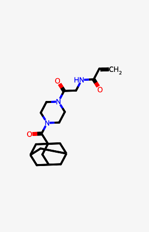 C=CC(=O)NCC(=O)N1CCN(C(=O)C23CC4CC(CC(C4)C2)C3)CC1